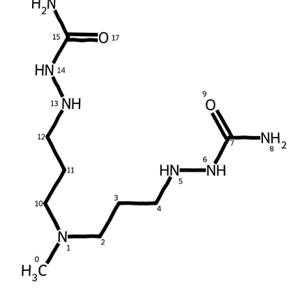 CN(CCCNNC(N)=O)CCCNNC(N)=O